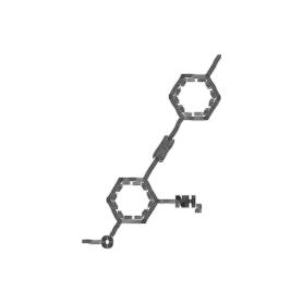 COc1ccc(C#Cc2ccc(C)cc2)c(N)c1